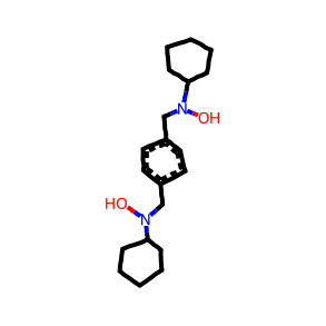 ON(Cc1ccc(CN(O)C2CCCCC2)cc1)C1CCCCC1